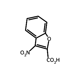 O=C(O)c1oc2ccccc2c1[N+](=O)[O-]